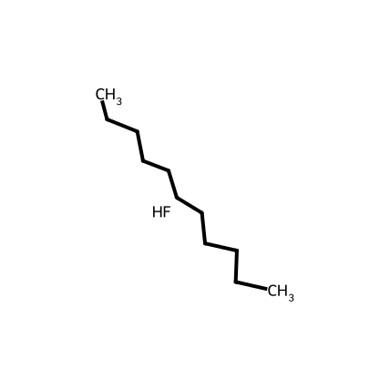 CCCCCCCCCCC.F